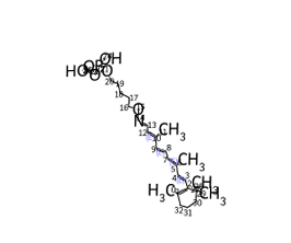 CC1=C(/C=C/C(C)=C/C=C/C(C)=C/C=NOCCCCCOP(=O)(O)OO)C(C)(C)CCC1